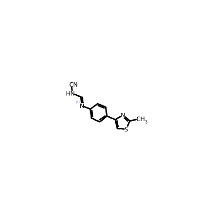 Cc1nc(-c2ccc(/N=C/NC#N)cc2)cs1